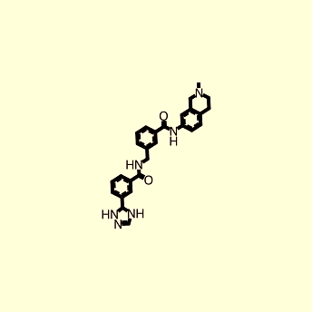 CN1CCc2ccc(NC(=O)c3cccc(CNC(=O)c4cccc(C5NC=NN5)c4)c3)cc2C1